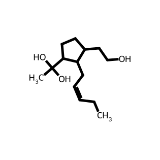 CC/C=C\CC1C(CCO)CCC1C(C)(O)O